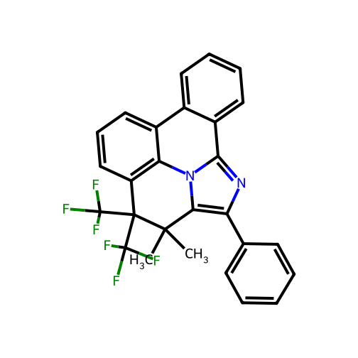 CC1(C)c2c(-c3ccccc3)nc3c4ccccc4c4cccc(c4n23)C1(C(F)(F)F)C(F)(F)F